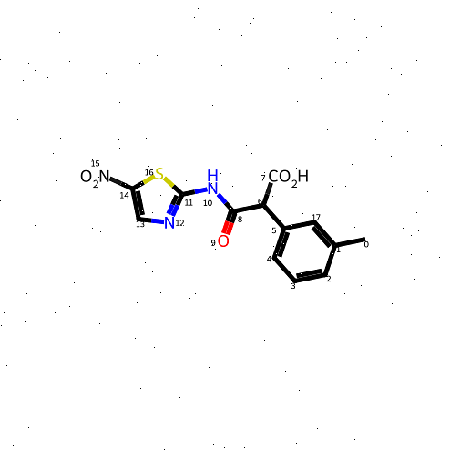 Cc1cccc(C(C(=O)O)C(=O)Nc2ncc([N+](=O)[O-])s2)c1